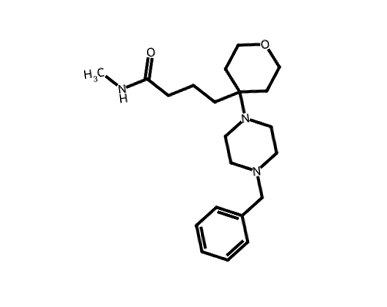 CNC(=O)CCCC1(N2CCN(Cc3ccccc3)CC2)CCOCC1